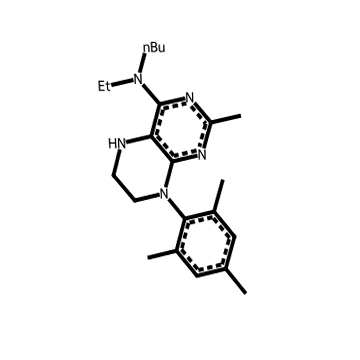 CCCCN(CC)c1nc(C)nc2c1NCCN2c1c(C)cc(C)cc1C